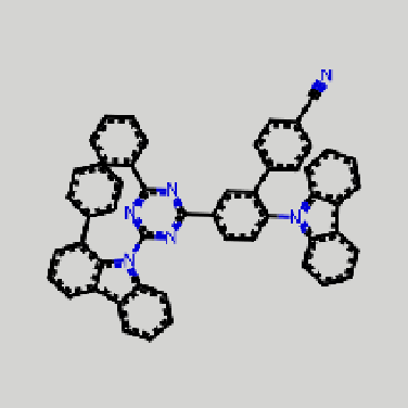 N#Cc1ccc(-c2cc(-c3nc(-c4ccccc4)nc(-n4c5ccccc5c5cccc(-c6ccccc6)c54)n3)ccc2-n2c3ccccc3c3ccccc32)cc1